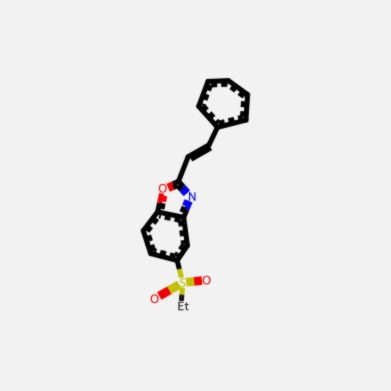 CCS(=O)(=O)c1ccc2oc(C=Cc3ccccc3)nc2c1